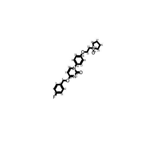 O=c1nc(OCc2ccc(F)cc2)ccn1-c1ccc(OCC[N+]2([O-])CCCC2)cc1